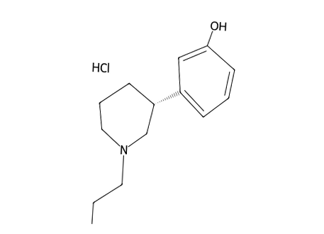 CCCN1CCC[C@H](c2cccc(O)c2)C1.Cl